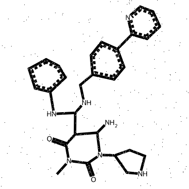 CN1C(=O)C(C(NCc2ccc(-c3ccccn3)cc2)Nc2ccccc2)C(N)N(C2CCNC2)C1=O